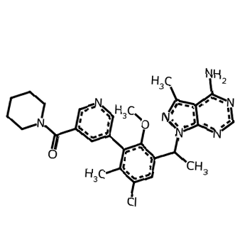 COc1c(C(C)n2nc(C)c3c(N)ncnc32)cc(Cl)c(C)c1-c1cncc(C(=O)N2CCCCC2)c1